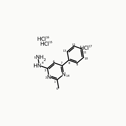 Cc1nc(NN)cc(-c2ccccc2)n1.Cl.Cl.Cl